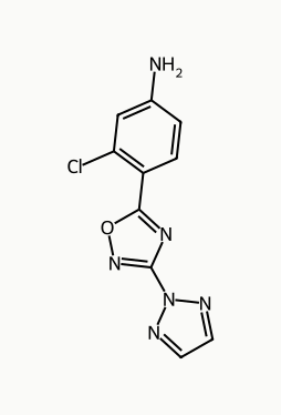 Nc1ccc(-c2nc(-n3nccn3)no2)c(Cl)c1